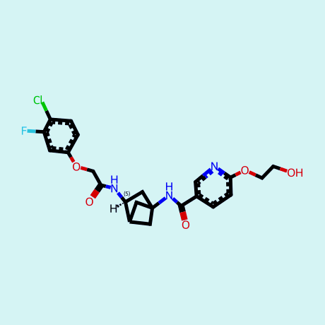 O=C(COc1ccc(Cl)c(F)c1)N[C@H]1CC2(NC(=O)c3ccc(OCCO)nc3)CC1C2